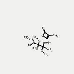 CC1=COC1=O.CCOC(=O)N(CC)C([SiH3])(OCC)C(C)(OCC)OCC